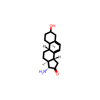 C[C@]12CC[C@H]3C(=CC=C4CC(O)CC[C@@]43C)[C@@H]1CC(=O)[C@@H]2N